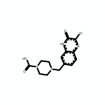 CCCC(=O)N1CCN(Cc2ccc3nc(CC)c(=O)[nH]c3c2)CC1